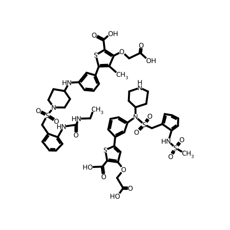 CCNC(=O)Nc1ccccc1CS(=O)(=O)N1CCC(Nc2cccc(-c3sc(C(=O)O)c(OCC(=O)O)c3C)c2)CC1.CS(=O)(=O)Nc1ccccc1CS(=O)(=O)N(c1cccc(-c2cc(OCC(=O)O)c(C(=O)O)s2)c1)C1CCNCC1